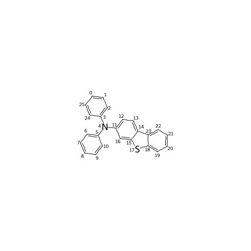 c1ccc(N(c2ccccc2)c2ccc3c(c2)sc2ccccc23)cc1